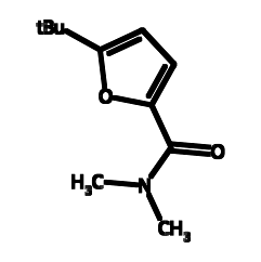 CN(C)C(=O)c1ccc(C(C)(C)C)o1